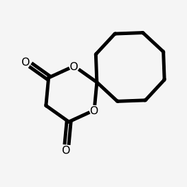 O=C1CC(=O)OC2(CCCCCCC2)O1